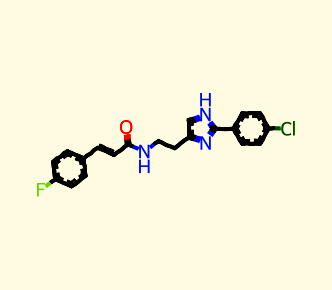 O=C(/C=C/c1ccc(F)cc1)NCCc1c[nH]c(-c2ccc(Cl)cc2)n1